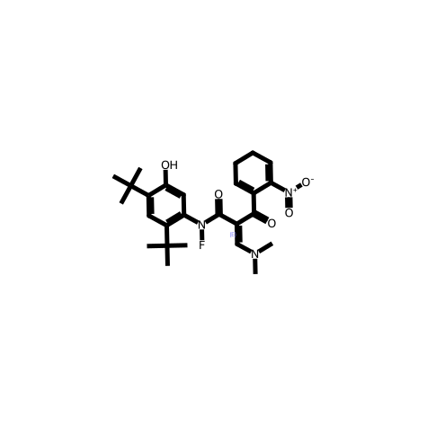 CN(C)/C=C(\C(=O)C1=CCCC=C1[N+](=O)[O-])C(=O)N(F)c1cc(O)c(C(C)(C)C)cc1C(C)(C)C